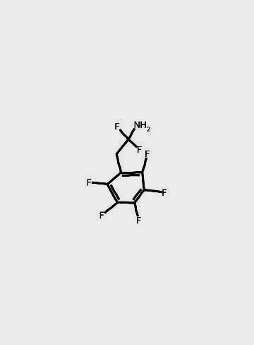 NC(F)(F)Cc1c(F)c(F)c(F)c(F)c1F